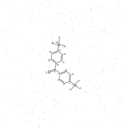 C[Si](C)(C)c1ccc(C(=O)c2ccc([Si](C)(C)C)cc2)cc1